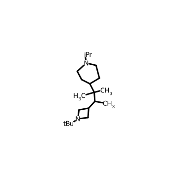 CC(C)N1CCC(C(C)(C)C(C)C2CN(C(C)(C)C)C2)CC1